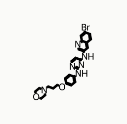 Brc1ccc2cc(Nc3ccnc(Nc4ccc(OCCCN5CCOCC5)cc4)n3)cnc2c1